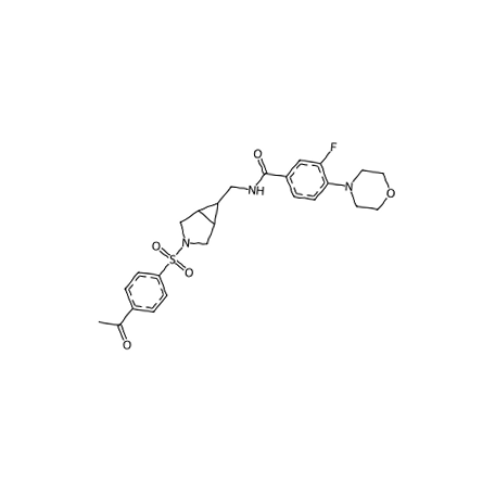 CC(=O)c1ccc(S(=O)(=O)N2CC3C(CNC(=O)c4ccc(N5CCOCC5)c(F)c4)C3C2)cc1